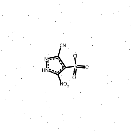 N#Cc1n[nH]c([N+](=O)[O-])c1S(=O)(=O)Cl